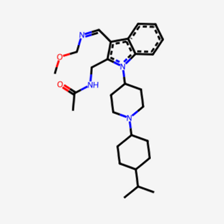 COC/N=C\c1c(CNC(C)=O)n(C2CCN(C3CCC(C(C)C)CC3)CC2)c2ccccc12